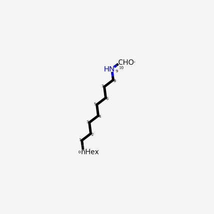 CCCCCCCCCCCCCCN[C]=O